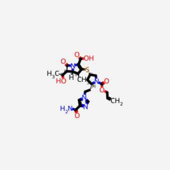 C=CCOC(=O)N1C[C@@H](SC2=C(C(=O)O)N3C(=O)[C@H]([C@@H](C)O)[C@H]3[C@H]2C)C[C@H]1CCn1cnc(C(N)=O)c1